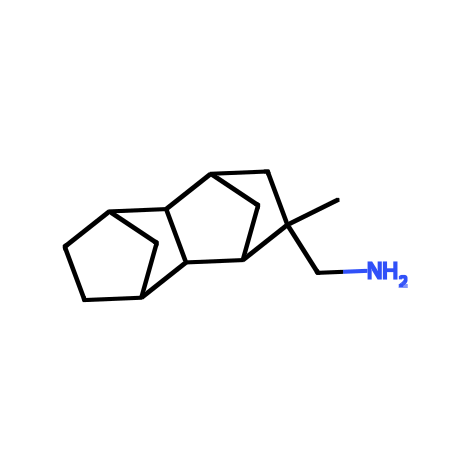 CC1(CN)CC2CC1C1C3CCC(C3)C21